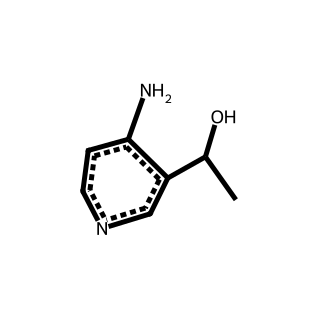 CC(O)c1cnccc1N